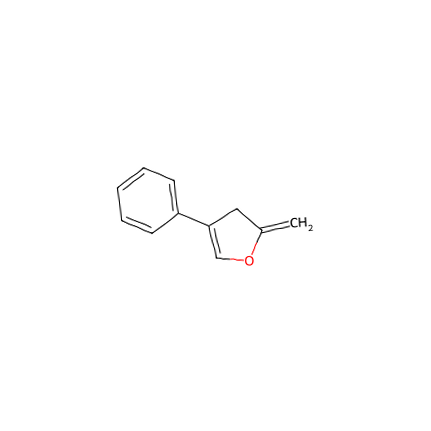 C=C1CC(c2ccccc2)=CO1